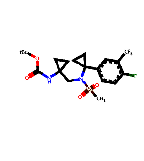 CC(C)(C)OC(=O)NC1(CN(C2(c3ccc(F)c(C(F)(F)F)c3)CC2)S(C)(=O)=O)CC1